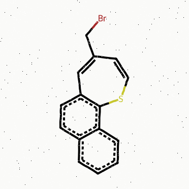 BrCC1=Cc2ccc3ccccc3c2SC=C1